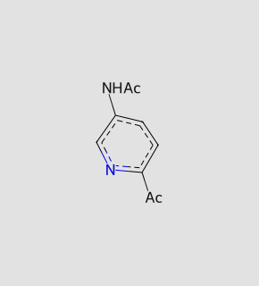 CC(=O)Nc1ccc(C(C)=O)nc1